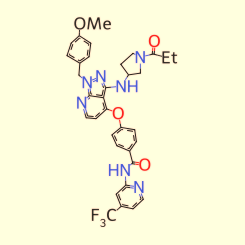 CCC(=O)N1CCC(Nc2nn(Cc3ccc(OC)cc3)c3nccc(Oc4ccc(C(=O)Nc5cc(C(F)(F)F)ccn5)cc4)c23)C1